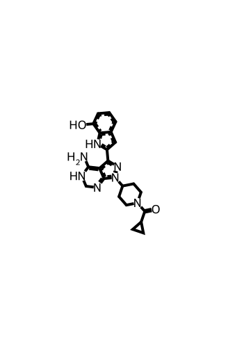 NC1=c2c(-c3cc4cccc(O)c4[nH]3)nn(C3CCN(C(=O)C4CC4)CC3)c2=NCN1